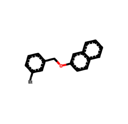 CCc1cccc(COc2ccc3ccccc3c2)c1